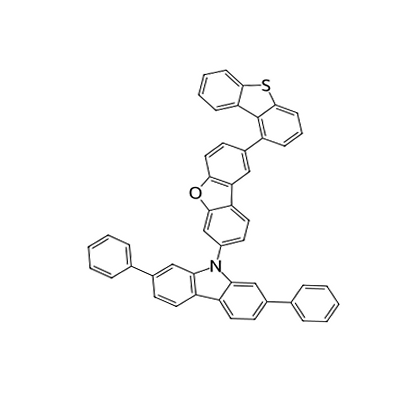 c1ccc(-c2ccc3c4ccc(-c5ccccc5)cc4n(-c4ccc5c(c4)oc4ccc(-c6cccc7sc8ccccc8c67)cc45)c3c2)cc1